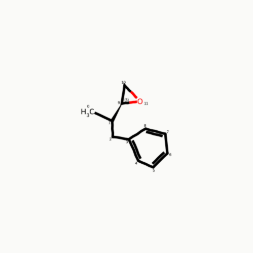 CC(Cc1ccccc1)[C@H]1CO1